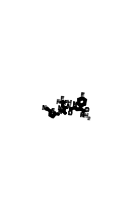 Cc1c(NC(=O)c2cc(C(N)=O)c3ccc(F)cc3n2)c(C(F)(F)F)nn1Cc1ccc(C#N)s1